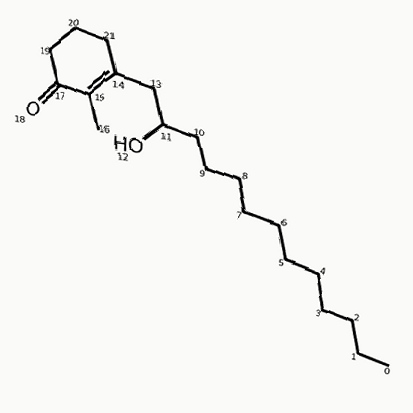 CCCCCCCCCCCC(O)CC1=C(C)C(=O)CCC1